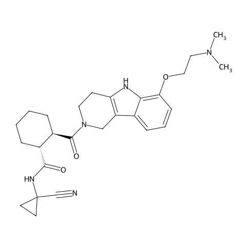 CN(C)CCOc1cccc2c3c([nH]c12)CCN(C(=O)[C@@H]1CCCC[C@H]1C(=O)NC1(C#N)CC1)C3